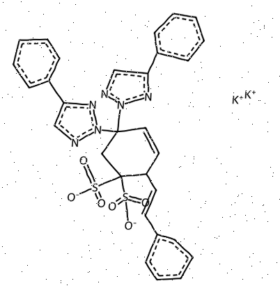 O=S(=O)([O-])C1(S(=O)(=O)[O-])CC(n2ncc(-c3ccccc3)n2)(n2ncc(-c3ccccc3)n2)C=CC1C=Cc1ccccc1.[K+].[K+]